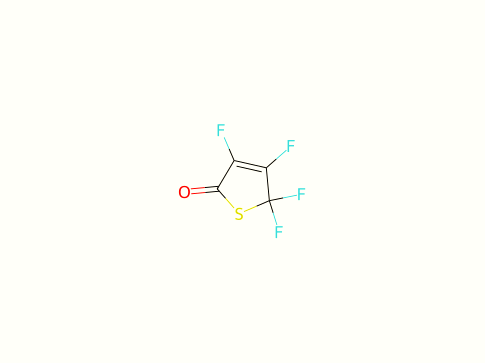 O=C1SC(F)(F)C(F)=C1F